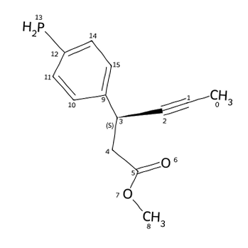 CC#C[C@@H](CC(=O)OC)c1ccc(P)cc1